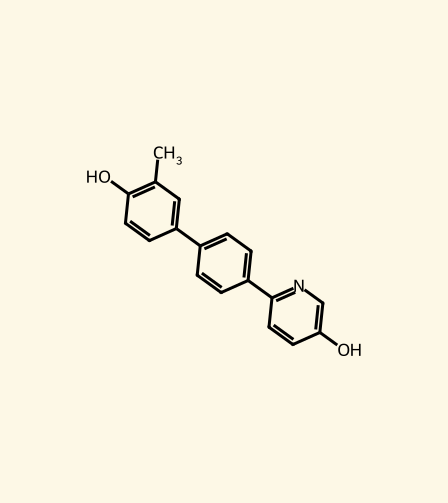 Cc1cc(-c2ccc(-c3ccc(O)cn3)cc2)ccc1O